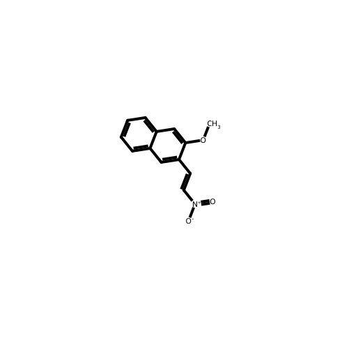 COc1cc2ccccc2cc1C=C[N+](=O)[O-]